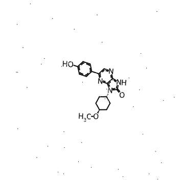 CO[C@H]1CC[C@H](n2c(=O)[nH]c3ncc(-c4ccc(O)cc4)nc32)CC1